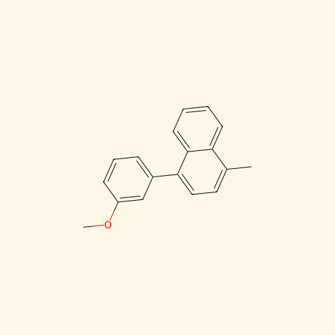 COc1cccc(-c2ccc(C)c3ccccc23)c1